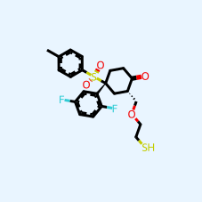 Cc1ccc(S(=O)(=O)[C@]2(c3cc(F)ccc3F)CCC(=O)[C@H](COCCS)C2)cc1